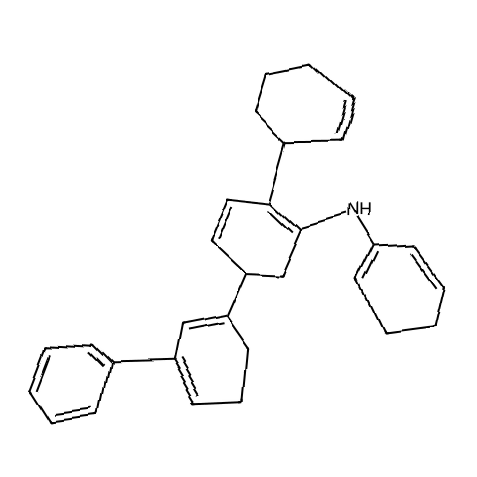 C1=CC(NC2=C(C3C=CCCC3)C=CC(C3=CC(c4ccccc4)=CCC3)C2)=CCC1